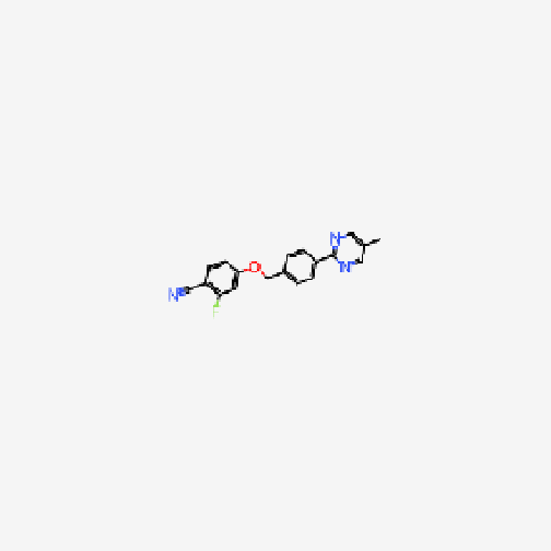 Cc1cnc(-c2ccc(COc3ccc(C#N)c(F)c3)cc2)nc1